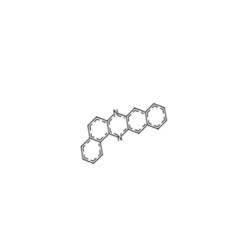 c1ccc2cc3nc4c(ccc5ccccc54)nc3cc2c1